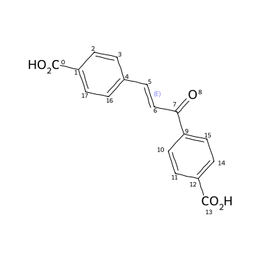 O=C(O)c1ccc(/C=C/C(=O)c2ccc(C(=O)O)cc2)cc1